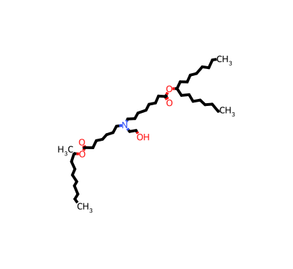 CCCCCCCCC(C)OC(=O)CCCCCCN(CCO)CCCCCCCC(=O)OC(CCCCCCCC)CCCCCCCC